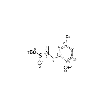 CC(C)(C)[S+]([O-])NCc1cc(F)ccc1O